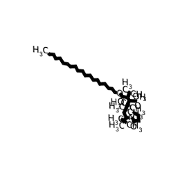 CCCCCCCCCCCCCCCCCCCCOC(=O)C(C(C)C)C(C(=O)O)C(C)(C)C(C)(C)CC(N1CCCC1=O)C(C)(C)C